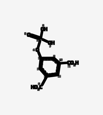 O=C(O)c1cc(OP(=O)(O)O)cc(C(=O)O)c1